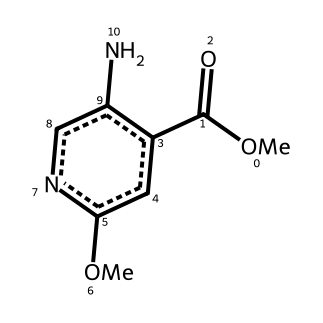 COC(=O)c1cc(OC)ncc1N